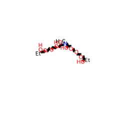 CCC(O)COCCOCCOCC(O)CN(C)CC(O)COCCOCCOCC(O)CC